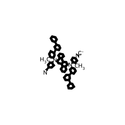 [C-]#[N+]c1ccc(N(c2cc(-c3cccc(-c4ccccc4)c3)ccc2C)c2cc3c4ccccc4c(N(c4ccc(C#N)cc4)c4cc(-c5cccc(-c6ccccc6)c5)ccc4C)cc3c3ccccc23)cc1